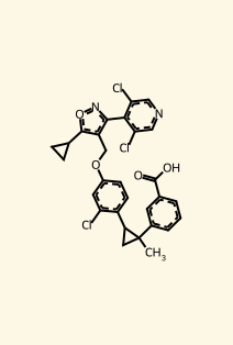 CC1(c2cccc(C(=O)O)c2)CC1c1ccc(OCc2c(-c3c(Cl)cncc3Cl)noc2C2CC2)cc1Cl